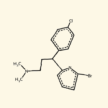 CN(C)CCC(c1ccc(Cl)cc1)c1cccc(Br)n1